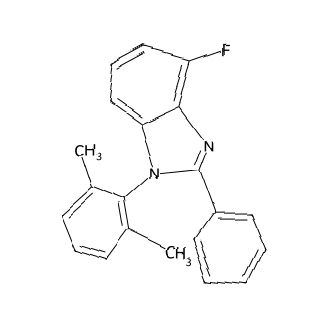 Cc1cccc(C)c1-n1c(-c2ccccc2)nc2c(F)cccc21